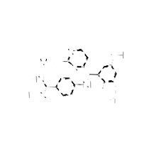 CCOc1cc(OC(C)C)c(F)c(C(Nc2ccc(C(=N)N)cc2)c2ccnc(SC)n2)c1